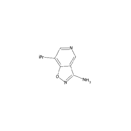 CC(C)c1cncc2c(N)noc12